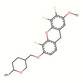 CCCC1CCC(COc2ccc3c(c2F)Oc2c(cc(OCC)c(F)c2F)C3)CO1